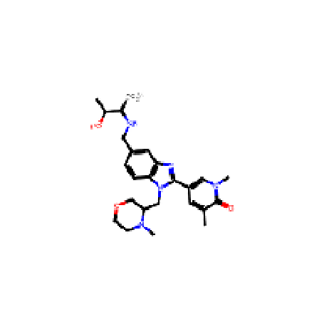 Cc1cc(-c2nc3cc(CNC(C(=O)O)C(C)O)ccc3n2CC2COCCN2C)cn(C)c1=O